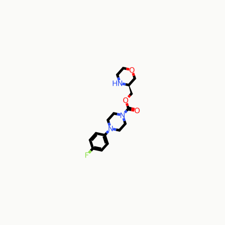 O=C(OC[C@@H]1COCCN1)N1CCN(c2ccc(F)cc2)CC1